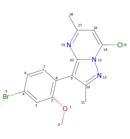 COc1cc(Br)ccc1-c1c(C)nn2c(Cl)cc(C)nc12